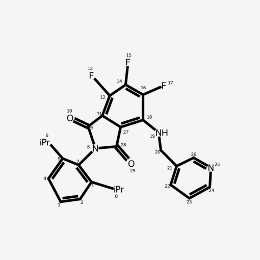 CC(C)c1cccc(C(C)C)c1N1C(=O)c2c(F)c(F)c(F)c(NCc3cccnc3)c2C1=O